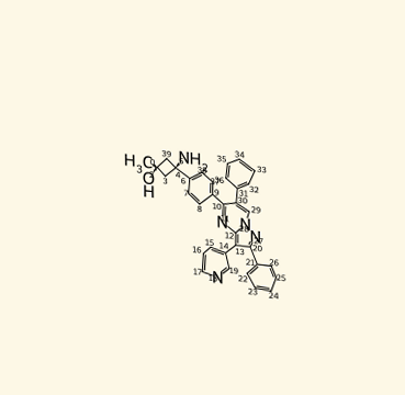 C[C@]1(O)C[C@@](N)(c2ccc(-c3nc4c(-c5cccnc5)c(-c5ccccc5)nn4cc3-c3ccccc3)cc2)C1